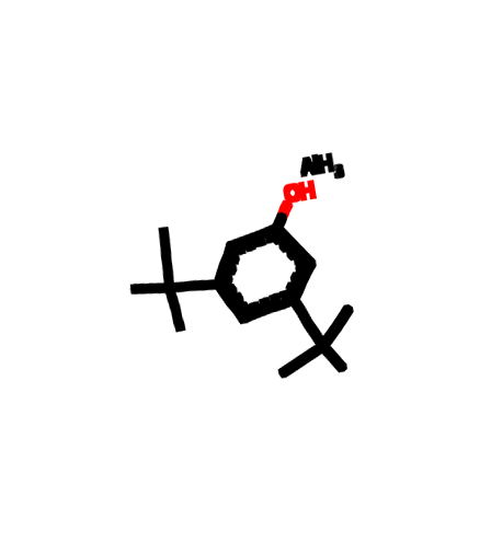 CC(C)(C)c1cc(O)cc(C(C)(C)C)c1.[AlH3]